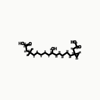 CC(C)(CCCCCC(O)CCCCCC1(CC(=O)O)CC1)CC(=O)O